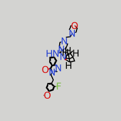 COc1ccc(CCn2cnc3cc(NC(=N[C@H]4C[C@@H]5C[C@H]([C@@H]4C)C5(C)C)N4CCN(CCN5CCOCC5)CC4)ccc3c2=O)c(F)c1